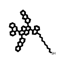 SCCCCCCCCCCc1ccc(-c2cc(-c3ccc4cc5ccccc5cc4c3)c3ccc4c(-c5cc6ccccc6c6ccccc56)cc(-c5ccc6cc7ccccc7cc6c5)c5ccc2c3c54)c2ccccc12